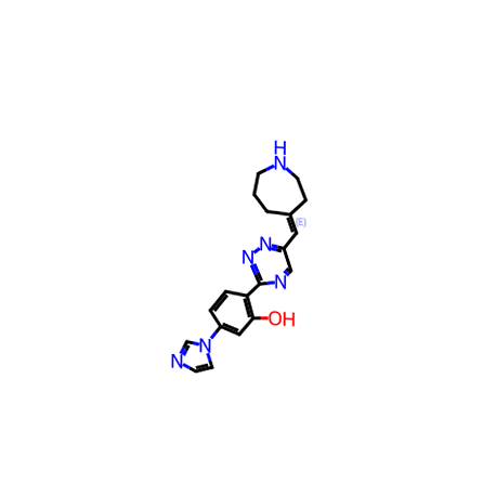 Oc1cc(-n2ccnc2)ccc1-c1ncc(/C=C2\CCCNCC2)nn1